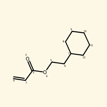 C=CC(=O)OCCC1CCCCC1